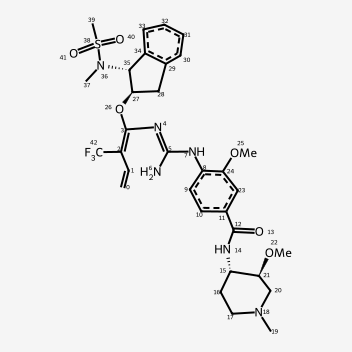 C=C/C(=C(\N=C(/N)Nc1ccc(C(=O)N[C@H]2CCN(C)C[C@@H]2OC)cc1OC)O[C@@H]1Cc2ccccc2[C@H]1N(C)S(C)(=O)=O)C(F)(F)F